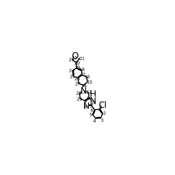 Clc1ccccc1-c1nc2c([nH]1)CN(C1CCc3cc(C4COC4)ccc3C1)CC2